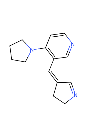 C1=NCCC1=Cc1cnccc1N1CCCC1